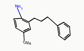 COc1ccc(N)c(CCCc2ccccc2)c1